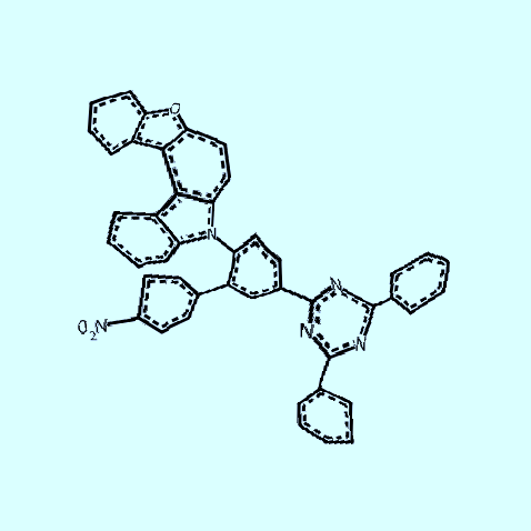 O=[N+]([O-])c1ccc(-c2cc(-c3nc(-c4ccccc4)nc(-c4ccccc4)n3)ccc2-n2c3ccccc3c3c4c(ccc32)oc2ccccc24)cc1